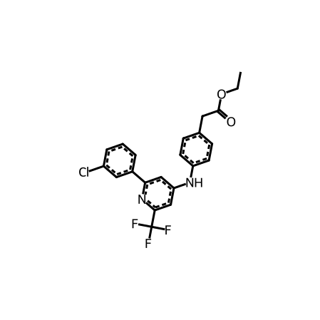 CCOC(=O)Cc1ccc(Nc2cc(-c3cccc(Cl)c3)nc(C(F)(F)F)c2)cc1